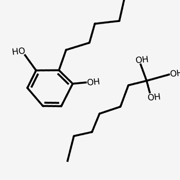 CCCCCCC(O)(O)O.CCCCCCc1c(O)cccc1O